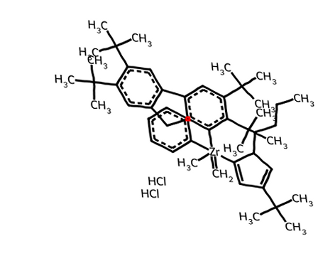 Cl.Cl.[CH2]=[Zr]([CH3])([C]1=CC(C(C)(C)C)=CC1CCCC)([c]1ccccc1)[c]1c2c(cc(C(C)(C)C)c1C(C)(C)C)-c1cc(C(C)(C)C)c(C(C)(C)C)cc1C2